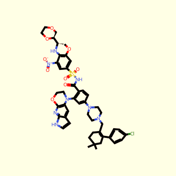 CC1(C)CCC(CN2CCN(c3ccc(C(=O)NS(=O)(=O)c4cc5c(c([N+](=O)[O-])c4)N[C@H]([C@@H]4COCCO4)CO5)c(N4CCOc5nc6[nH]ccc6cc54)c3)CC2)=C(c2ccc(Cl)cc2)C1